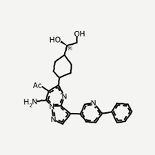 CC(=O)c1c(C2CCC([C@@H](O)CO)CC2)nc2c(-c3ccc(-c4ccccc4)nc3)cnn2c1N